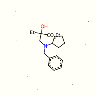 CCOC(=O)C(O)(CC)CN(Cc1ccccc1)C1CCCC1